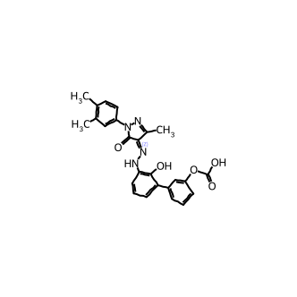 CC1=NN(c2ccc(C)c(C)c2)C(=O)/C1=N\Nc1cccc(-c2cccc(OC(=O)O)c2)c1O